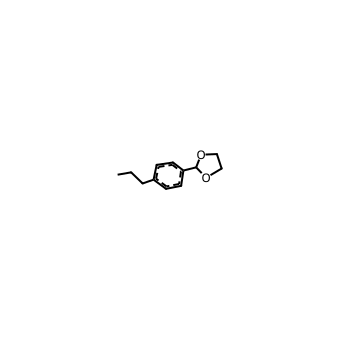 CCCc1ccc(C2OCCO2)cc1